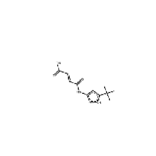 CC(C)(C)c1cc(NC(=O)C=CC(=O)O)n[nH]1